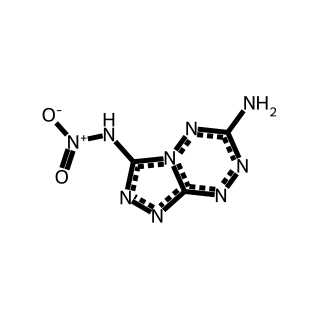 Nc1nnc2nnc(N[N+](=O)[O-])n2n1